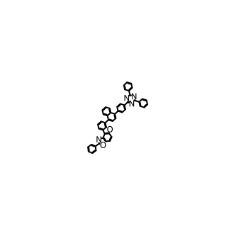 c1ccc(-c2nc(-c3ccccc3)nc(-c3ccc(-c4ccc(-c5cccc6c5oc5ccc7oc(-c8ccccc8)nc7c56)c5ccccc45)cc3)n2)cc1